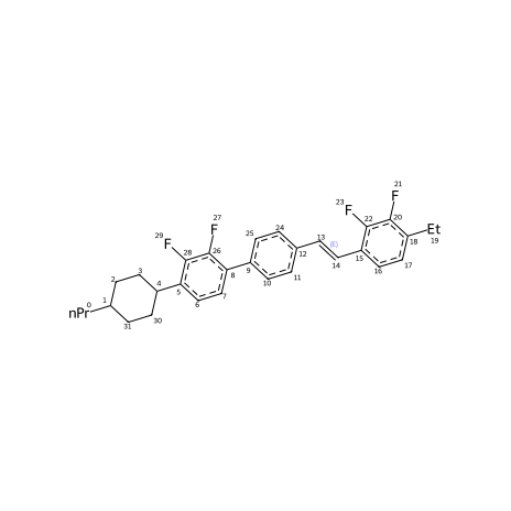 CCCC1CCC(c2ccc(-c3ccc(/C=C/c4ccc(CC)c(F)c4F)cc3)c(F)c2F)CC1